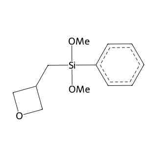 CO[Si](CC1COC1)(OC)c1ccccc1